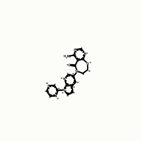 Nc1ncnc2c1C(=O)N(c1cnc3c(ccn3-c3cnccn3)c1)CCO2